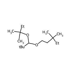 CCC(C)(C)CCOC(OC(C)(C)CC)C(C)(C)C